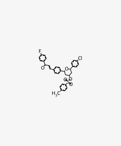 Cc1ccc(S(=O)(=O)OC2CC(c3ccc(Cl)cc3)OC(c3ccc(/C=C/C(=O)c4ccc(F)cc4)cc3)C2)cc1